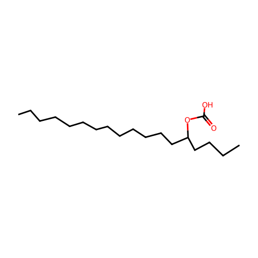 CCCCCCCCCCCCCC(CCCC)OC(=O)O